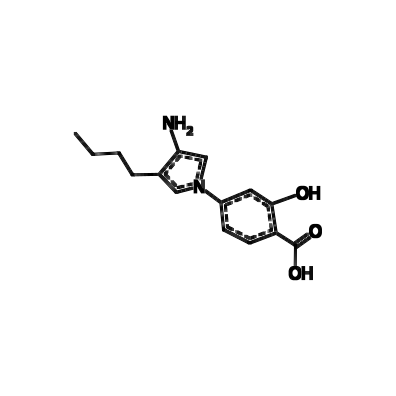 CCCCc1cn(-c2ccc(C(=O)O)c(O)c2)cc1N